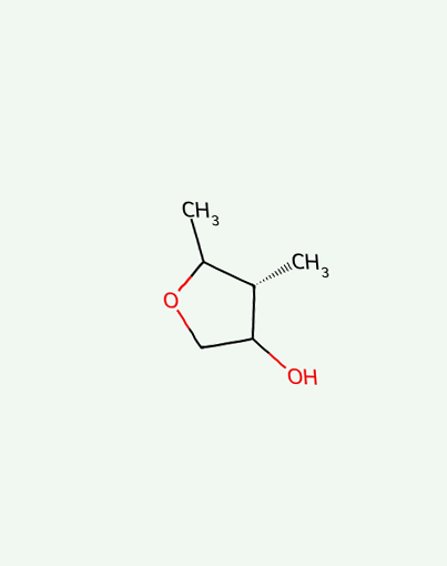 CC1OCC(O)[C@H]1C